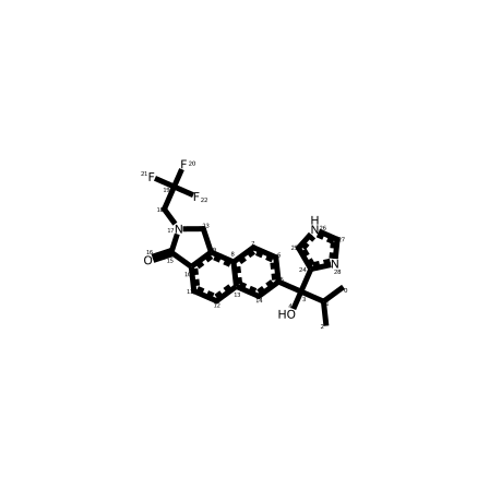 CC(C)C(O)(c1ccc2c3c(ccc2c1)C(=O)N(CC(F)(F)F)C3)c1c[nH]cn1